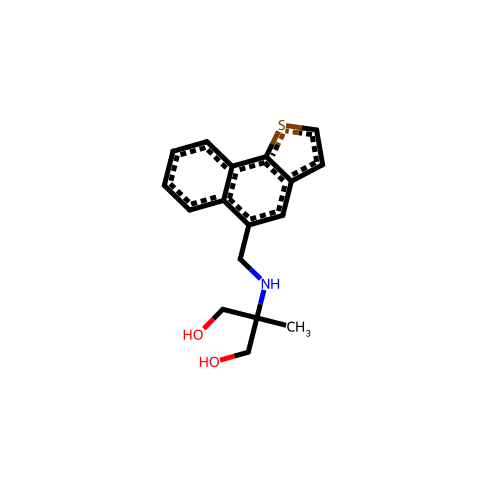 CC(CO)(CO)NCc1cc2ccsc2c2ccccc12